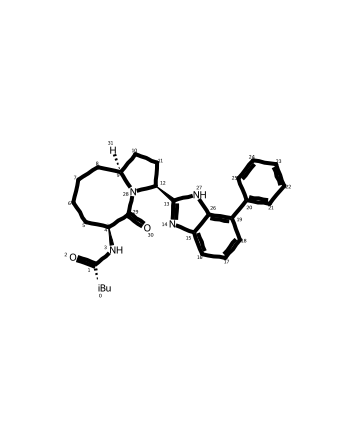 CC[C@@H](C)C(=O)N[C@H]1CCCC[C@H]2CC[C@@H](c3nc4cccc(-c5ccccc5)c4[nH]3)N2C1=O